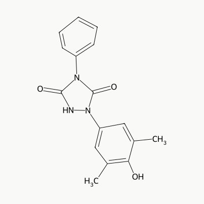 Cc1cc(-n2[nH]c(=O)n(-c3ccccc3)c2=O)cc(C)c1O